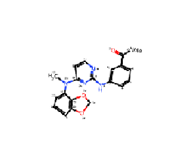 CNC(=O)c1cccc(Nc2nccc(N(C)c3cccc4c3OCO4)n2)c1